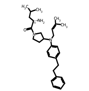 CC(C)=CCN(c1ccc(CCc2ccccc2)cc1)C1CCN(C(=O)[C@@H](N)CC(C)C)C1